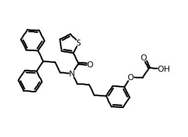 O=C(O)COc1cccc(CCCN(CCC(c2ccccc2)c2ccccc2)C(=O)c2cccs2)c1